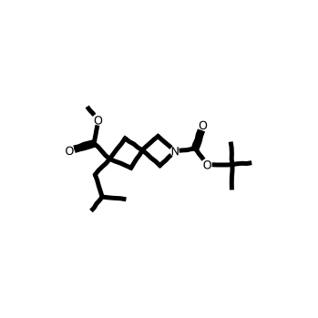 COC(=O)C1(CC(C)C)CC2(CN(C(=O)OC(C)(C)C)C2)C1